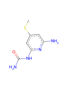 CSc1cc(N)nc(NC(N)=O)c1